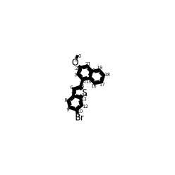 COc1cc(-c2cc3ccc(Br)cc3s2)c2ccccc2c1